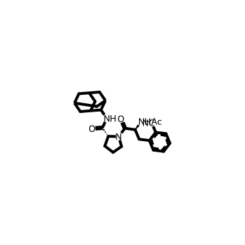 CC(=O)N[C@@H](Cc1ccccc1C#N)C(=O)N1CCC[C@@H]1C(=O)NC1C2CC3CC(C2)CC1C3